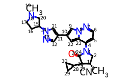 C[C@@H]1CN(c2ccnn3cc(-c4cnn(C5CCN(C)C5)c4)cc23)C(=O)[C@]1(C#N)C1CC1